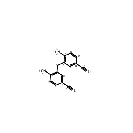 N#Cc1ccc(N)c(Cc2cc(C#N)ccc2N)c1